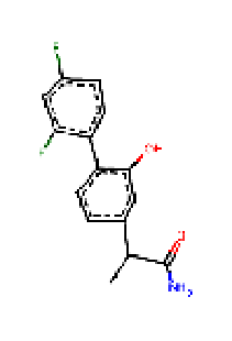 CC(C(N)=O)c1ccc(-c2ccc(F)cc2F)c(O)c1